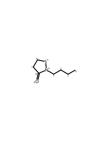 CCCCN1SCCC1=O